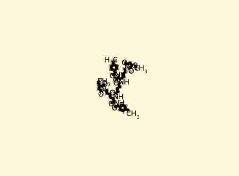 CCc1ccc(C(=O)NC(=O)C(CCCCN2C(=O)CC(SC)C2=O)NC(=O)CCCC(=O)NC(CCCCN2C(=O)CC(SC)C2=O)C(=O)NC(=O)c2ccc(CC)cc2)cc1